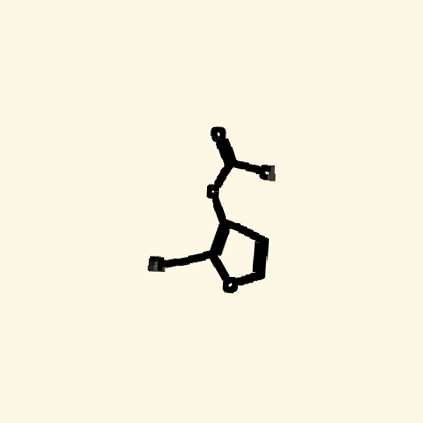 CCc1occc1OC(=O)Cl